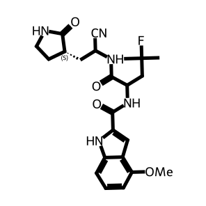 COc1cccc2[nH]c(C(=O)NC(CC(C)(C)F)C(=O)NC(C#N)C[C@@H]3CCNC3=O)cc12